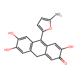 O=C1C=C2Cc3cc(O)c(O)cc3C(c3ccc([N+](=O)[O-])o3)=C2C=C1O